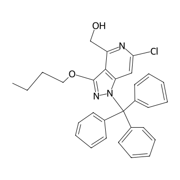 CCCCOc1nn(C(c2ccccc2)(c2ccccc2)c2ccccc2)c2cc(Cl)nc(CO)c12